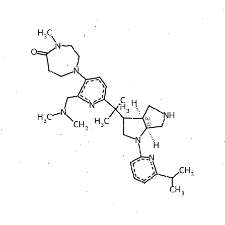 CC(C)c1cccc(N2CC(C(C)(C)c3ccc(N4CCC(=O)N(C)CC4)c(CN(C)C)n3)[C@H]3CNC[C@H]32)n1